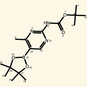 Cc1nc(NC(=O)OC(C)(C)C)ncc1B1OC(C)(C)C(C)(C)O1